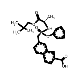 C[C@H](NP(=O)(Cc1ccc2ccc(C(=O)O)cc2c1)Oc1ccccc1)C(=O)OCC(C)(C)C